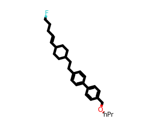 CCCOCc1ccc(-c2ccc(CCC3CCC(C=CCCCF)CC3)cc2)cc1